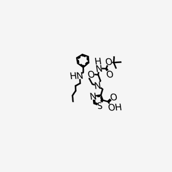 CC(C)(C)OC(=O)NC1CN(Cc2ncsc2C(=O)O)CCO1.CCCCCNCc1ccccc1